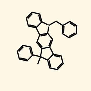 CC1(c2ccccc2)c2ccccc2-c2cc3c(cc21)c1ccccc1n3Cc1ccccc1